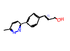 Cc1ccc(-c2ccc(/C=C/CO)cc2)nn1